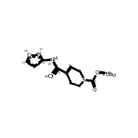 CC(C)(C)OC(=O)N1CCC(C(=O)Nc2ccon2)CC1